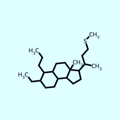 CCCC1C(CC)CCC2C1CCC1(C)C(C(C)CCSC)CCC21